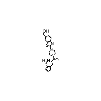 N[C@@H](Cc1cccs1)C(=O)N1CCN(c2nc3ccc(CO)cc3s2)CC1